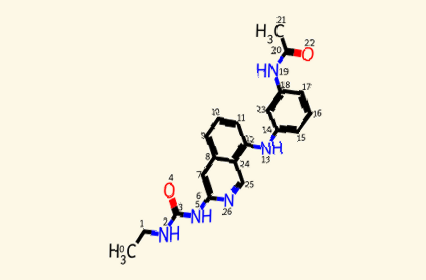 CCNC(=O)Nc1cc2cccc(Nc3cccc(NC(C)=O)c3)c2cn1